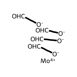 O=C[O-].O=C[O-].O=C[O-].O=C[O-].[Mo+4]